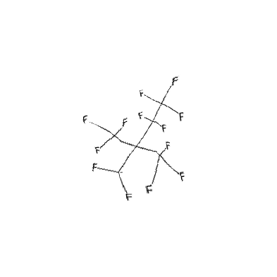 F[C](F)C(C(F)(F)F)(C(F)(F)F)C(F)(F)C(F)(F)F